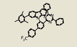 Cc1cc(C)c(-c2ccc3c4ccccc4n(-c4cc(-c5ccc(C(F)(F)F)cc5)ccc4-c4nc(-c5ccccc5)nc(-c5ccccc5)n4)c3c2)c(C)c1